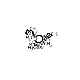 CCOC(C)O[C@]1(C)CC[C@@H](O[Si](C)(C)C(C)(C)C)CC(=O)O[C@H](C(C)=CC=C[C@@H](C)c2ccccn2)[C@@H](C)C=C[C@@H]1OC(=O)N1CCN(C)CC1